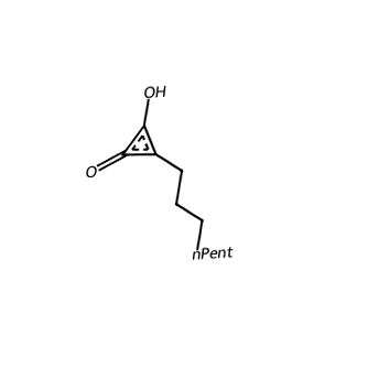 CCCCCCCCc1c(O)c1=O